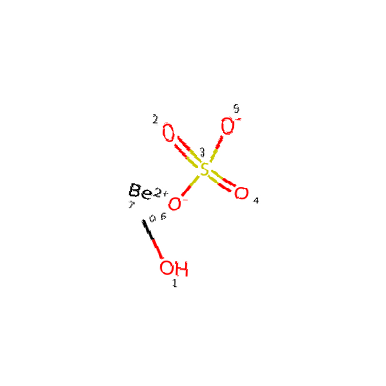 CO.O=S(=O)([O-])[O-].[Be+2]